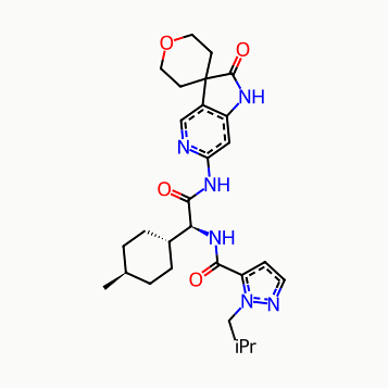 CC(C)Cn1nccc1C(=O)N[C@H](C(=O)Nc1cc2c(cn1)C1(CCOCC1)C(=O)N2)[C@H]1CC[C@H](C)CC1